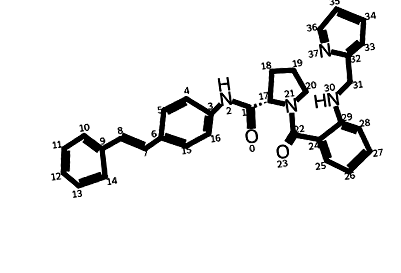 O=C(Nc1ccc(/C=C/c2ccccc2)cc1)[C@@H]1CCCN1C(=O)c1ccccc1NCc1ccccn1